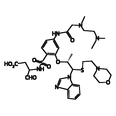 C[C@@H](Oc1cc(NC(=O)CN(C)CCN(C)C)ccc1S(=O)(=O)NC(C=O)CC(=O)O)C(SCCN1CCOCC1)n1cnc2ccccc21